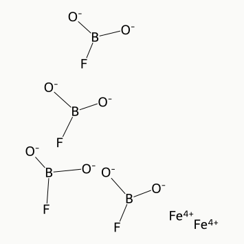 [Fe+4].[Fe+4].[O-]B([O-])F.[O-]B([O-])F.[O-]B([O-])F.[O-]B([O-])F